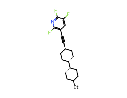 CC[C@H]1CC[C@H]([C@H]2CC[C@H](C#Cc3cc(F)c(F)nc3F)CC2)CC1